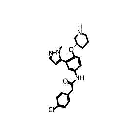 Cn1nccc1-c1cc(NC(=O)Cc2ccc(Cl)cc2)ccc1O[C@H]1CCCNC1